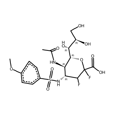 COc1ccc(S(=O)(=O)N[C@H]2C(F)C(F)(C(=O)O)O[C@@H]([C@H](O)[C@H](O)CO)[C@@H]2NC(C)=O)cc1